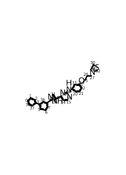 c1ccc(-c2cccc(-c3ncc(-c4ccnc(Nc5cccc(OCCCN6CCSC6)c5)n4)[nH]3)c2)cc1